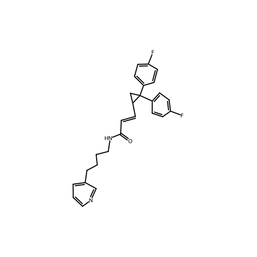 O=C(/C=C/C1CC1(c1ccc(F)cc1)c1ccc(F)cc1)NCCCCc1cccnc1